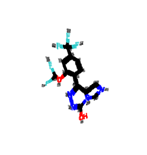 Oc1nnc(-c2ccc(C(F)(F)F)cc2OC(F)F)c2cncn12